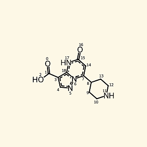 O=C(O)c1cnn2c(C3CCNCC3)cc(=O)[nH]c12